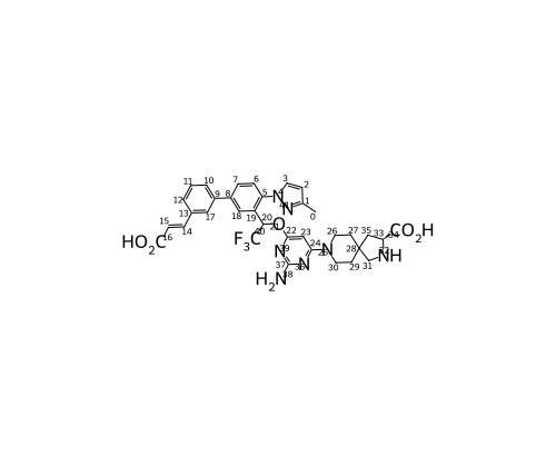 Cc1ccn(-c2ccc(-c3cccc(/C=C/C(=O)O)c3)cc2[C@@H](Oc2cc(N3CCC4(CC3)CN[C@H](C(=O)O)C4)nc(N)n2)C(F)(F)F)n1